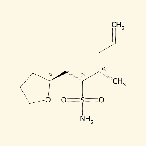 C=CC[C@H](C)[C@@H](C[C@@H]1CCCO1)S(N)(=O)=O